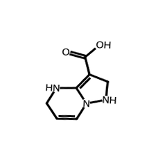 O=C(O)C1=C2NCC=CN2NC1